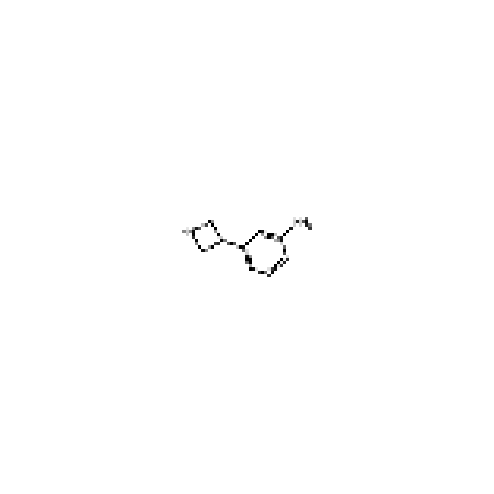 Nc1cccc(C2CNC2)c1